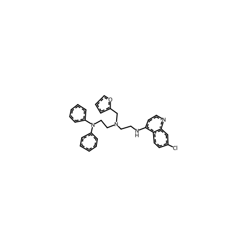 Clc1ccc2c(NCCN(CCN(c3ccccc3)c3ccccc3)Cc3ccco3)ccnc2c1